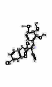 COc1ccc(/C=C(/C#N)S(=O)(=O)Cc2ccc(Cl)cc2Cl)c(OC)c1OC